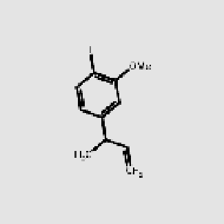 [CH2]C(C=C)c1ccc(I)c(OC)c1